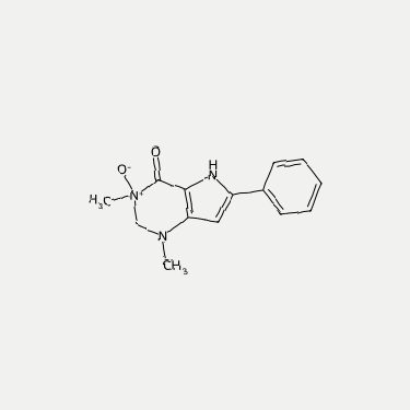 CN1C[N+](C)([O-])C(=O)c2[nH]c(-c3ccccc3)cc21